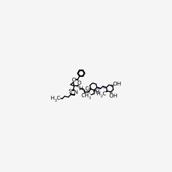 C=C1/C(=C\C=C2/CCC[C@]3(C)[C@@H]([C@H](C)CC[C@@H](OC(=O)c4ccccc4)C4(c5ncc(CCCC)s5)CC4)CC[C@@H]23)C[C@@H](O)C[C@@H]1O